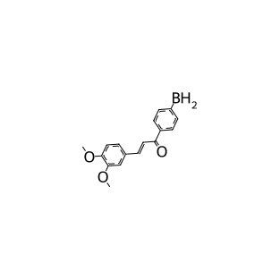 Bc1ccc(C(=O)/C=C/c2ccc(OC)c(OC)c2)cc1